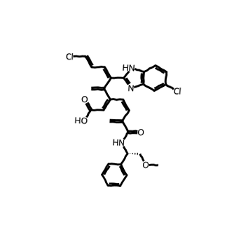 C=C(/C=C\C(=C\C(=O)O)C(=C)/C(=C\C=C\Cl)c1nc2cc(Cl)ccc2[nH]1)C(=O)N[C@H](COC)c1ccccc1